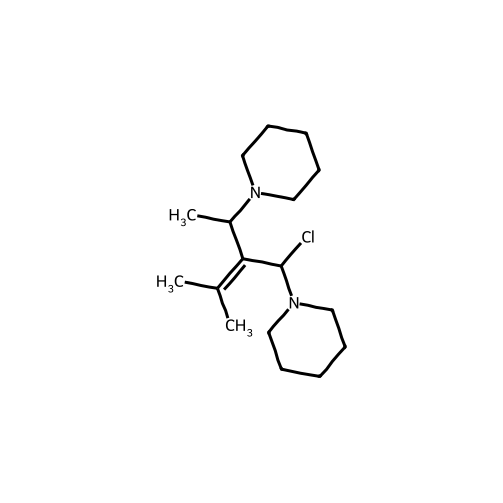 CC(C)=C(C(C)N1CCCCC1)C(Cl)N1CCCCC1